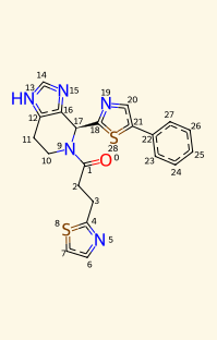 O=C(CCc1nccs1)N1CCc2[nH]cnc2[C@H]1c1ncc(-c2ccccc2)s1